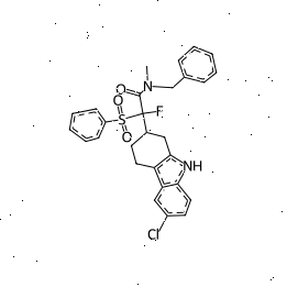 CN(Cc1ccccc1)C(=O)C(F)(C1CCc2c([nH]c3ccc(Cl)cc23)C1)S(=O)(=O)c1ccccc1